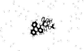 CC(C)OC(=O)N[C@@H](Cc1ccccc1-c1ccccc1-c1ccccc1)C(=O)O